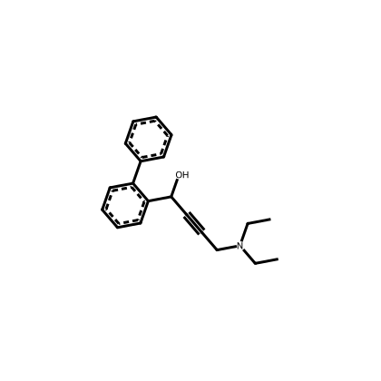 CCN(CC)CC#CC(O)c1ccccc1-c1ccccc1